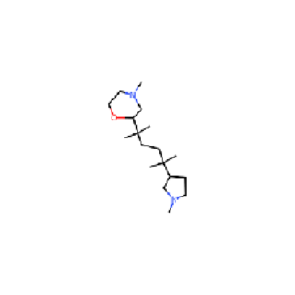 CN1CCC(C(C)(C)CCC(C)(C)C2CN(C)CCO2)C1